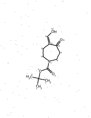 CC(C)(C)OC(=O)N1CCC(=O)C(=CO)CC1